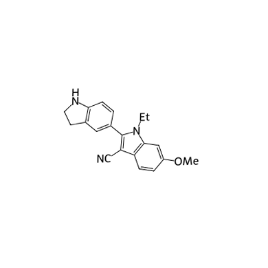 CCn1c(-c2ccc3c(c2)CCN3)c(C#N)c2ccc(OC)cc21